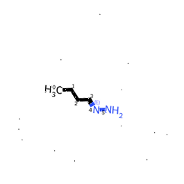 CCC/C=N/N